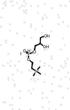 C[N+](C)(C)CCO[PH](=O)OCC(O)CO.[I-]